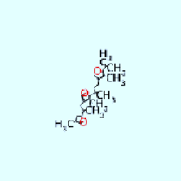 Cc1coc(C(C)Cc2coc(C(C)CCc3coc(C(C)C)c3C)c2C)c1